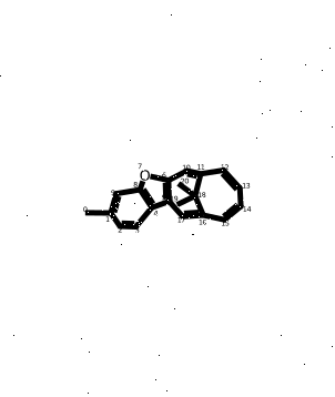 Cc1ccc2c3c(oc2c1)C=C1C=CC=CC(=C3)C1(C)C